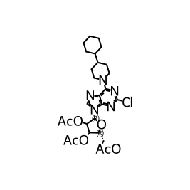 CC(=O)OC[C@H]1O[C@@H](n2cnc3c(N4CCC(C5CCCCC5)CC4)nc(Cl)nc32)C(OC(C)=O)C1OC(C)=O